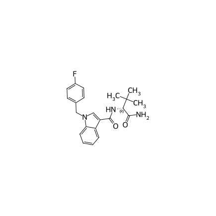 CC(C)(C)[C@@H](NC(=O)c1cn(Cc2ccc(F)cc2)c2ccccc12)C(N)=O